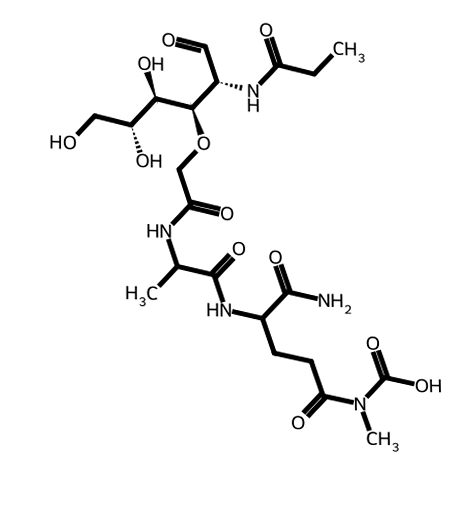 CCC(=O)N[C@@H](C=O)[C@@H](OCC(=O)NC(C)C(=O)NC(CCC(=O)N(C)C(=O)O)C(N)=O)[C@H](O)[C@H](O)CO